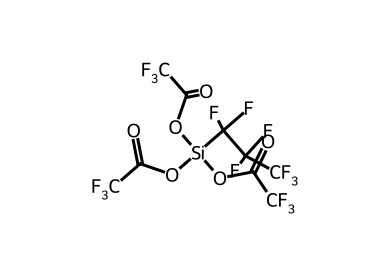 O=C(O[Si](OC(=O)C(F)(F)F)(OC(=O)C(F)(F)F)C(F)(F)C(F)(F)C(F)(F)F)C(F)(F)F